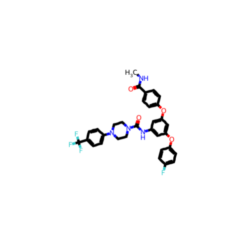 CNC(=O)c1ccc(Oc2cc(NC(=O)N3CCN(c4ccc(C(F)(F)F)cc4)CC3)cc(Oc3ccc(F)cc3)c2)cc1